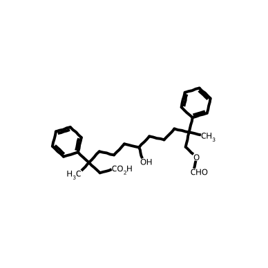 CC(CCCC(O)CCCC(C)(CC(=O)O)c1ccccc1)(COC=O)c1ccccc1